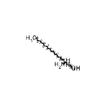 CCCCCCCCC=CCCCCCCCCC(N)CNCCO